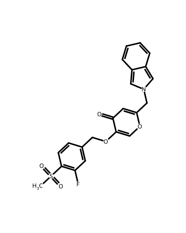 CS(=O)(=O)c1ccc(COc2coc(Cn3cc4ccccc4c3)cc2=O)cc1F